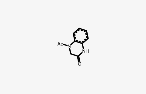 CC(=O)N1CC(=O)Nc2ccccc21